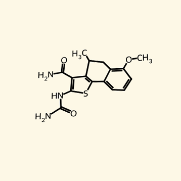 COc1cccc2c1CC(C)c1c-2sc(NC(N)=O)c1C(N)=O